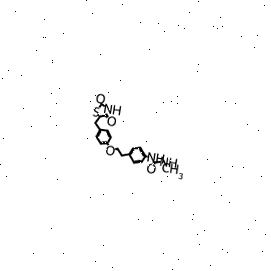 CNC(=O)Nc1ccc(CCOc2ccc(CC3SC(=O)NC3=O)cc2)cc1